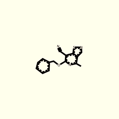 Cc1nc(OCc2ccccc2)c(C#N)c2sncc12